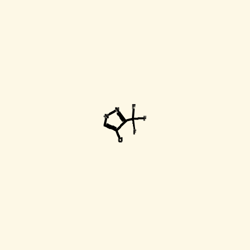 FC(F)(F)C1=N[N]C=C1Cl